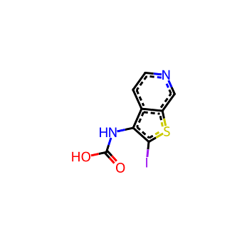 O=C(O)Nc1c(I)sc2cnccc12